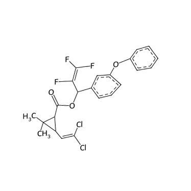 CC1(C)C(C=C(Cl)Cl)C1C(=O)OC(C(F)=C(F)F)c1cccc(Oc2ccccc2)c1